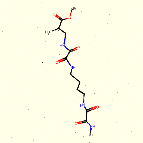 CCCOC(=O)C(C)CNC(=O)C(=O)NCCCCNC(=O)C(=O)NCC